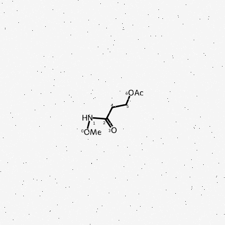 CONC(=O)CCOC(C)=O